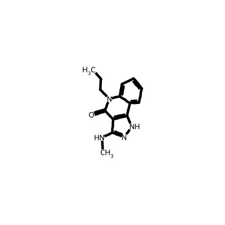 CCCn1c(=O)c2c(NC)n[nH]c2c2ccccc21